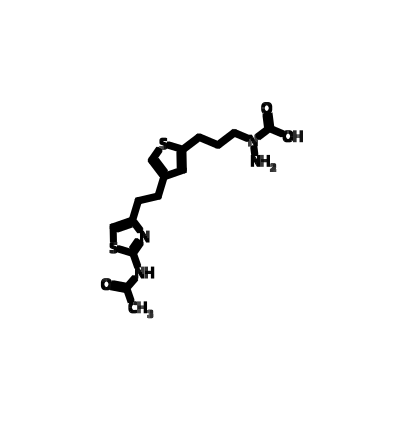 CC(=O)Nc1nc(CCc2csc(CCCN(N)C(=O)O)c2)cs1